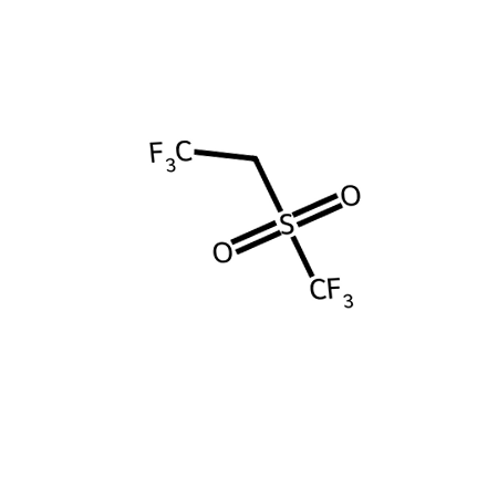 O=S(=O)(CC(F)(F)F)C(F)(F)F